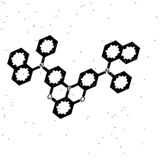 c1ccc(N(c2ccc3c(c2)Oc2cccc4c2B3c2ccc(N(c3ccccc3)c3cccc5ccccc35)cc2O4)c2cccc3ccccc23)cc1